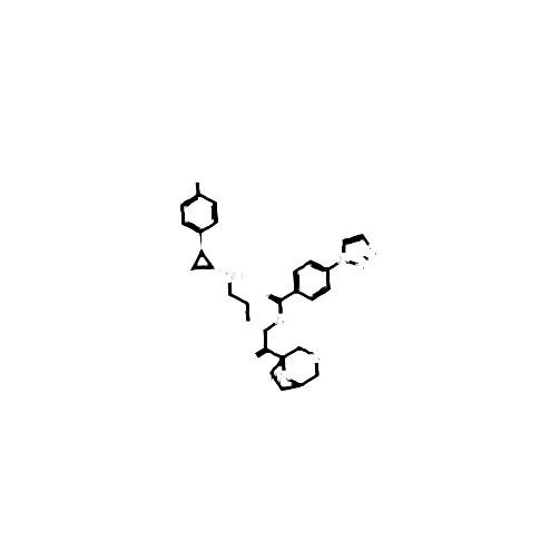 O=C(N[C@@H](CCCN[C@@H]1C[C@H]1c1ccc(F)cc1)C(=O)C12CCC(CNC1)N2)c1ccc(-n2ccnn2)cc1